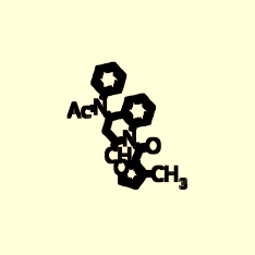 CC(=O)N(c1ccccc1)C1CC(C)N(C(=O)c2occc2C)c2ccccc21